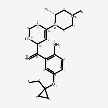 CCC1(Oc2ccc(N)c(C(=N)C3C=C(N4CCN(C)C[C@H]4C)NCN3)c2)CC1